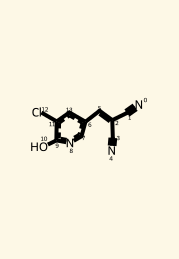 N#CC(C#N)=Cc1cnc(O)c(Cl)c1